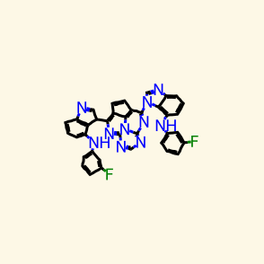 Fc1cccc(Nc2cccc3c2C(c2nc4ncnc5nc(-n6cnc7cccc(Nc8cccc(F)c8)c76)c6ccc2c6n45)C=N3)c1